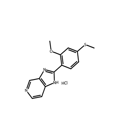 COc1cc(SC)ccc1-c1nc2cnccc2[nH]1.Cl